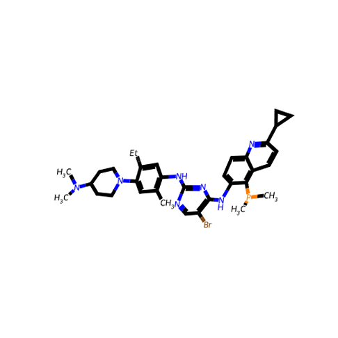 CCc1cc(Nc2ncc(Br)c(Nc3ccc4nc(C5CC5)ccc4c3P(C)C)n2)c(C)cc1N1CCC(N(C)C)CC1